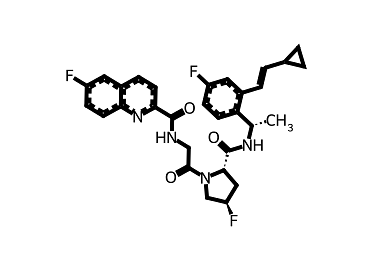 C[C@H](NC(=O)[C@@H]1C[C@@H](F)CN1C(=O)CNC(=O)c1ccc2cc(F)ccc2n1)c1ccc(F)cc1/C=C/C1CC1